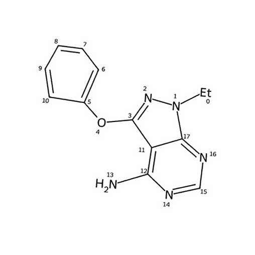 CCn1nc(Oc2ccccc2)c2c(N)ncnc21